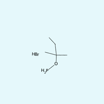 Br.CCC(C)(C)OP